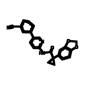 N#Cc1cccc(-c2ccc(NC(=O)C3(c4ccc5c(c4)OCO5)CC3)nc2)c1